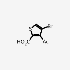 CC(=O)c1c(Br)csc1C(=O)O